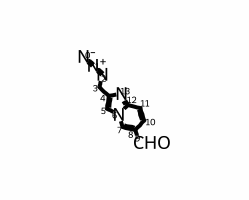 [N-]=[N+]=NCc1cn2cc(C=O)ccc2n1